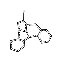 Brc1cn2c3ccccc3c3c4ccccc4cc1c32